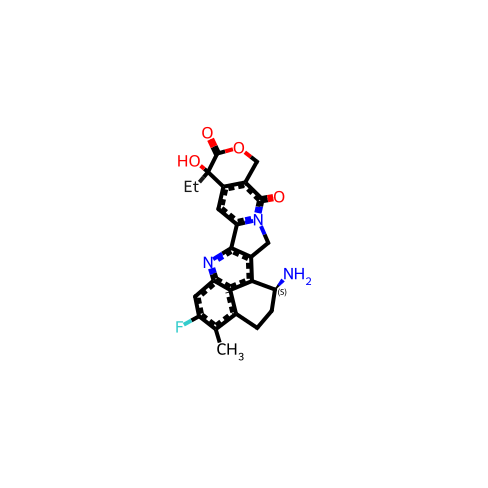 CCC1(O)C(=O)OCc2c1cc1n(c2=O)Cc2c-1nc1cc(F)c(C)c3c1c2[C@@H](N)CC3